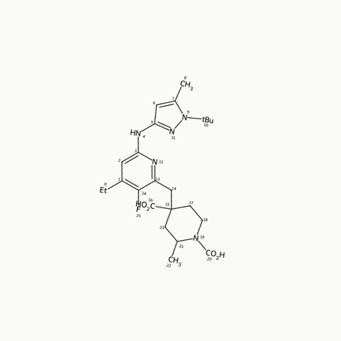 CCc1cc(Nc2cc(C)n(C(C)(C)C)n2)nc(CC2(C(=O)O)CCN(C(=O)O)C(C)C2)c1F